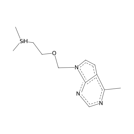 Cc1ncnc2c1ccn2COCC[SiH](C)C